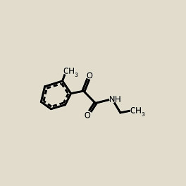 CCNC(=O)C(=O)c1ccccc1C